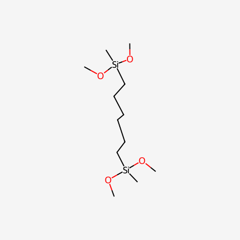 CO[Si](C)(CCCCCC[Si](C)(OC)OC)OC